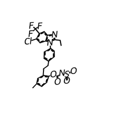 CCc1nc2cc(C(F)(F)F)c(Cl)cc2n1-c1ccc(CCc2cc(C)ccc2OC(=O)N=S(=O)=O)cc1